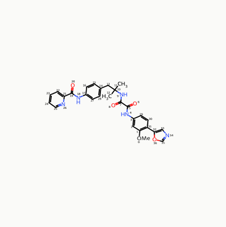 COc1cc(NC(=O)C(=O)NC(C)(C)Cc2ccc(NC(=O)c3ccccn3)cc2)ccc1-c1cnco1